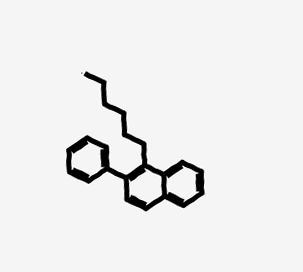 [CH2]CCCCCc1c(-c2ccccc2)ccc2ccccc12